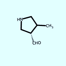 CC1CNC[C@H]1C=O